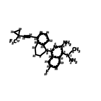 CN(N)c1c(N)nc(N2CCCc3c(C#CC4(C(F)(F)F)CC4)cccc32)c2cc(F)ccc12